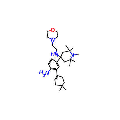 CN1C(C)(C)CC(NCCN2CCOCC2)(c2ccc(N)c(C3=CCC(C)(C)CC3)c2)CC1(C)C